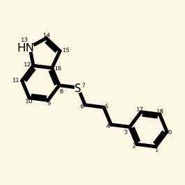 c1ccc(CCCSc2cccc3[nH]ccc23)cc1